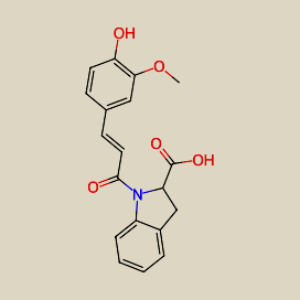 COc1cc(C=CC(=O)N2c3ccccc3CC2C(=O)O)ccc1O